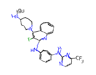 CC(C)(C)NC1CCN(c2c(F)c(Nc3cccc(Nc4nccc(C(F)(F)F)n4)c3)nc3ccccc23)CC1